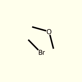 CBr.COC